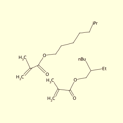 C=C(C)C(=O)OCC(CC)CCCC.C=C(C)C(=O)OCCCCCC(C)C